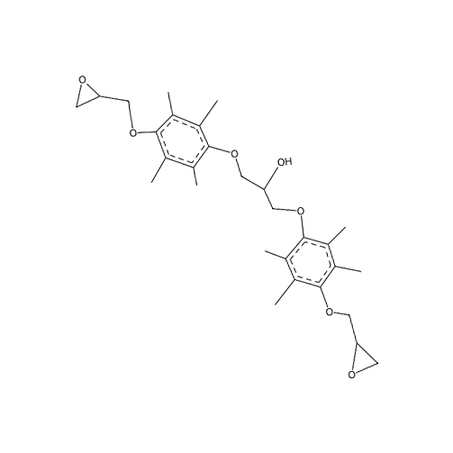 Cc1c(C)c(OCC2CO2)c(C)c(C)c1OCC(O)COc1c(C)c(C)c(OCC2CO2)c(C)c1C